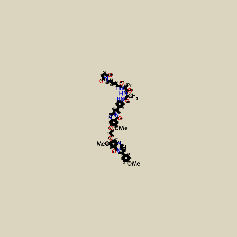 COc1ccc(C2=CN3C(=O)c4cc(OC)c(OCCCOc5cc6c(cc5OC)C(=O)N5C=C(c7ccc(NC(=O)[C@H](C)NC(=O)C(NC(=O)CCCCCN8C(=O)CCC8=O)C(C)C)cc7)CC5C=N6)cc4N=C[C@@H]3C2)cc1